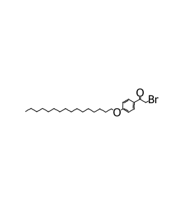 CCCCCCCCCCCCCCCCOc1ccc(C(=O)CBr)cc1